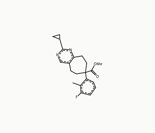 COC(=O)C1(c2cccc(F)c2C)CCc2cnc(C3CC3)nc2CC1